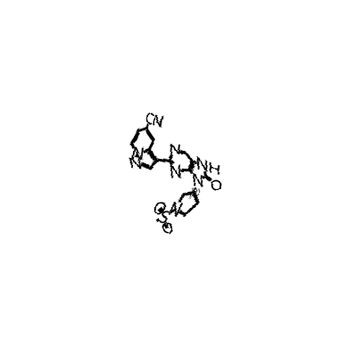 CS(=O)(=O)N1CC[C@@H](n2c(=O)[nH]c3cnc(-c4cnn5ccc(C#N)cc45)nc32)C1